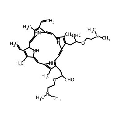 C=CC1=C(C)/C2=C/c3[nH]c(c(CC(C=O)OCCN(C)C)c3C)/C=C3\NC(/C=c4\[nH]/c(c(C)c4C=C)=C\C1N2)C(C)=C3CC(C=O)OCCN(C)C